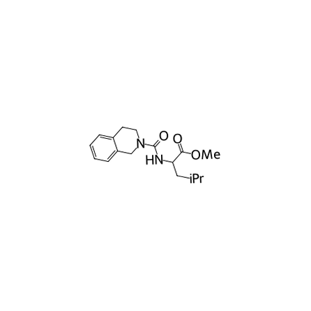 COC(=O)C(CC(C)C)NC(=O)N1CCc2ccccc2C1